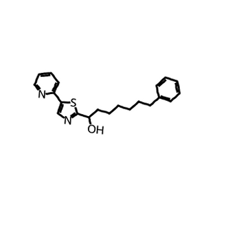 OC(CCCCCCc1ccccc1)c1ncc(-c2ccccn2)s1